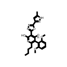 CCCCc1nc(O)c(-c2nnc(-c3cc(C)[nH]n3)o2)c(O)c1-c1c(OC)cccc1OC